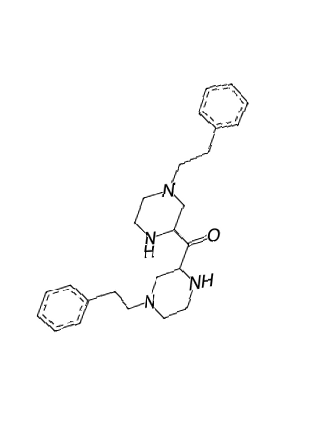 O=C(C1CN(CCc2ccccc2)CCN1)C1CN(CCc2ccccc2)CCN1